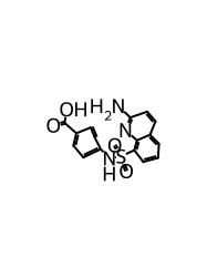 Nc1ccc2cccc(S(=O)(=O)Nc3ccc(C(=O)O)cc3)c2n1